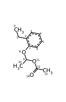 CCc1ccccc1OC(C)OC(C)=O